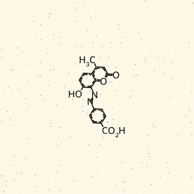 Cc1cc(=O)oc2c(N=Nc3ccc(C(=O)O)cc3)c(O)ccc12